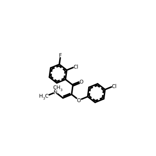 CN(C)/C=C(/Oc1ccc(Cl)cc1)C(=O)c1cccc(F)c1Cl